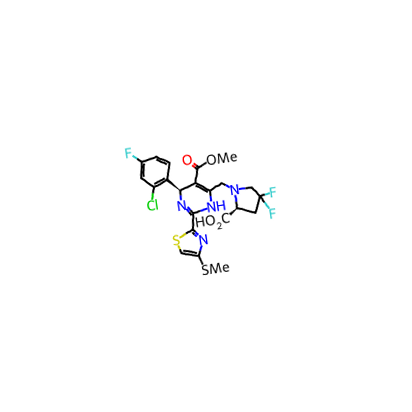 COC(=O)C1=C(CN2CC(F)(F)C[C@H]2C(=O)O)NC(c2nc(SC)cs2)=N[C@H]1c1ccc(F)cc1Cl